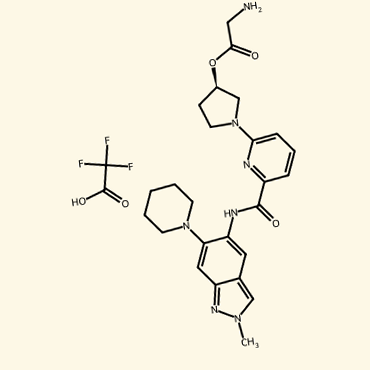 Cn1cc2cc(NC(=O)c3cccc(N4CC[C@@H](OC(=O)CN)C4)n3)c(N3CCCCC3)cc2n1.O=C(O)C(F)(F)F